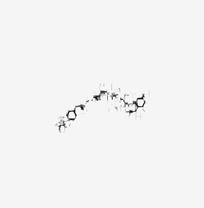 CCCN(CC(C)(C)Cc1ccc(Cl)cc1)C(=O)[C@H](NC(=O)NCC(C)(C)OC(=O)OCOC(=O)Cc1ccc(OP2(=O)OO2)cc1)C(C)C